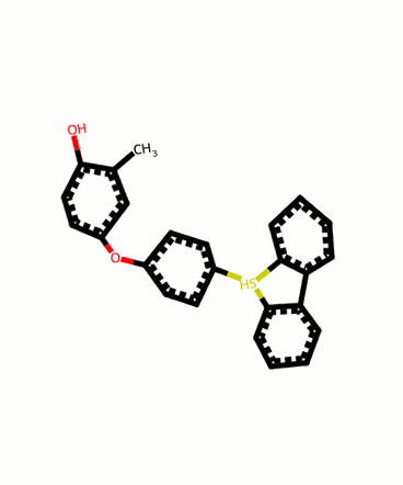 Cc1cc(Oc2ccc([SH]3c4ccccc4-c4ccccc43)cc2)ccc1O